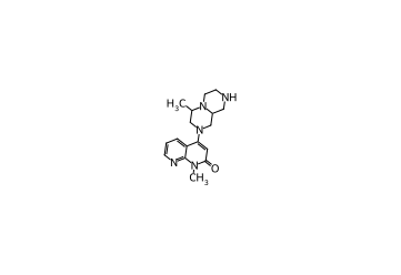 CC1CN(c2cc(=O)n(C)c3ncccc23)CC2CNCCN12